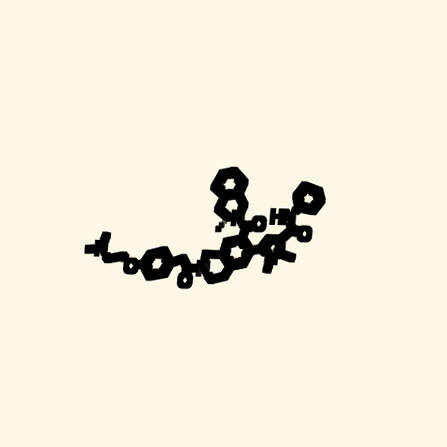 Cc1c(C(=O)Nc2ccccc2)cc(-c2cc3c(cc2C(=O)N2Cc4ccccc4C[C@H]2C)CN(C(=O)Cc2ccc(OCCN(C)C)cc2)CC3)n1C